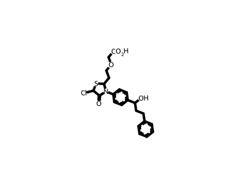 O=C(O)COCCC1SC(Cl)C(=O)N1c1ccc(C(O)CCc2ccccc2)cc1